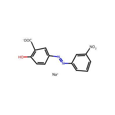 O=C([O-])c1cc(N=Nc2cccc([N+](=O)[O-])c2)ccc1O.[Na+]